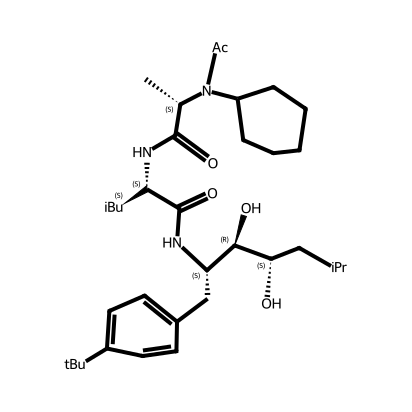 CC[C@H](C)[C@H](NC(=O)[C@H](C)N(C(C)=O)C1CCCCC1)C(=O)N[C@@H](Cc1ccc(C(C)(C)C)cc1)[C@@H](O)[C@@H](O)CC(C)C